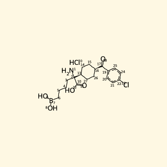 Cl.NC(CCCCB(O)O)(C(=O)O)[C@H]1CC[C@@H](C(=O)c2ccc(Cl)cc2)CC1